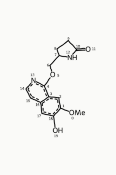 COc1cc2c(OCC3CCC(=O)N3)nccc2cc1O